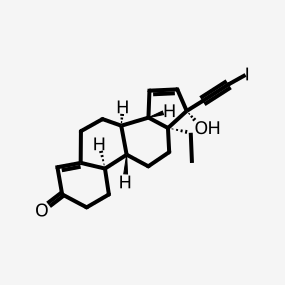 CC[C@]12CC[C@H]3[C@@H](CCC4=CC(=O)CC[C@@H]43)[C@@H]1C=C[C@@]2(O)C#CI